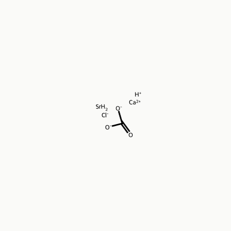 O=C([O-])[O-].[Ca+2].[Cl-].[H+].[SrH2]